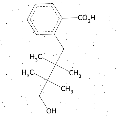 CC(C)(CO)C(C)(C)Cc1ccccc1C(=O)O